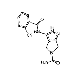 N#Cc1ccccc1C(=O)Nc1[nH]nc2c1CN(C(N)=O)C2